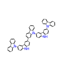 c1ccc2c(c1)c1ccccc1n2-c1ccc2[nH]c3ccc(-c4ccc5c6ccccc6n(-c6ccc7[nH]c8ccc(-n9c%10ccccc%10c%10ccccc%109)cc8c7c6)c5c4)cc3c2c1